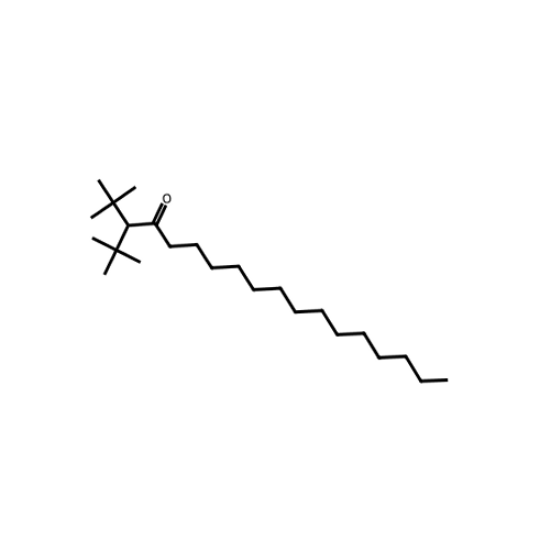 CCCCCCCCCCCCCCC(=O)C(C(C)(C)C)C(C)(C)C